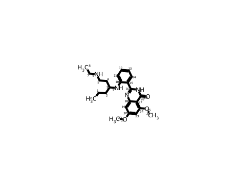 CCCC(CCNCC)Nc1ccccc1-c1nc2cc(OC)cc(OC)c2c(=O)[nH]1